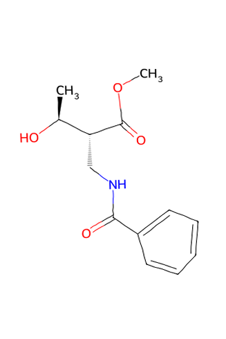 COC(=O)[C@H](CNC(=O)c1ccccc1)[C@H](C)O